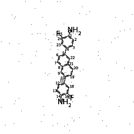 Nc1ccc(-c2ccc3cc(-c4ccc(N)c(F)c4)ccc3c2)cc1F